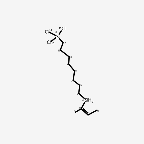 CC=C(C)[SiH2]CCCCCCCC[Si](Cl)(Cl)Cl